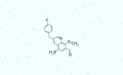 Bc1cc(C=O)c(OC)c2ncc(Cc3ccc(F)cc3)cc12